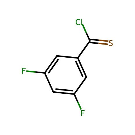 Fc1cc(F)cc(C(=S)Cl)c1